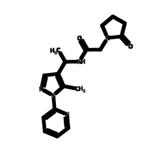 Cc1c(C(C)NC(=O)CN2CCCC2=O)cnn1-c1ccccn1